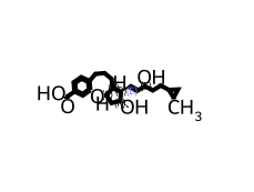 CC1CC1CC[C@H](O)/C=C/[C@@H]1[C@H]2CCCc3ccc(C(=O)O)cc3O[C@H]2C[C@H]1O